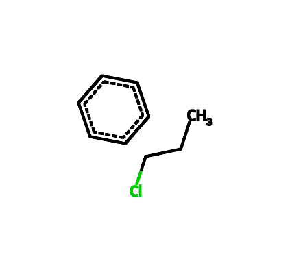 CCCCl.c1ccccc1